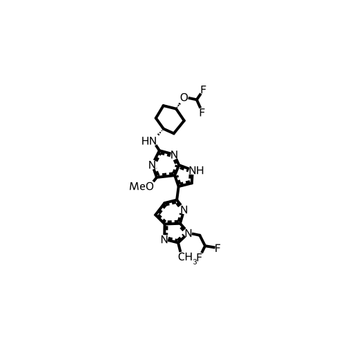 COc1nc(N[C@H]2CC[C@@H](OC(F)F)CC2)nc2[nH]cc(-c3ccc4nc(C)n(CC(F)F)c4n3)c12